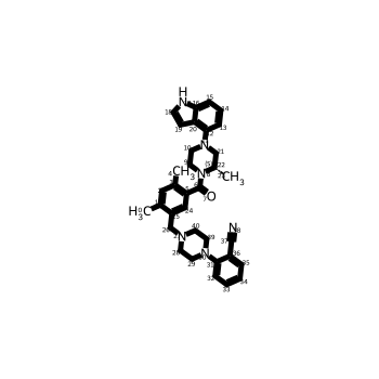 Cc1cc(C)c(C(=O)N2CCN(c3cccc4[nH]ccc34)C[C@@H]2C)cc1CN1CCN(c2ccccc2C#N)CC1